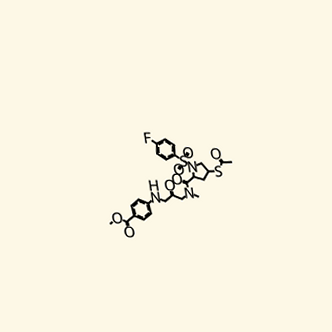 COC(=O)c1ccc(NCC(=O)CN(C)C(=O)C2CC(SC(C)=O)CN2S(=O)(=O)c2ccc(F)cc2)cc1